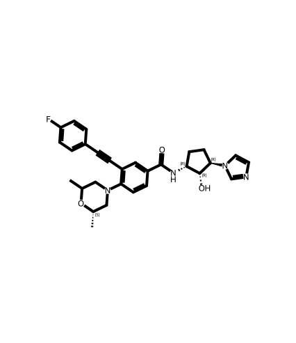 CC1CN(c2ccc(C(=O)N[C@@H]3CC[C@@H](n4ccnc4)[C@@H]3O)cc2C#Cc2ccc(F)cc2)C[C@H](C)O1